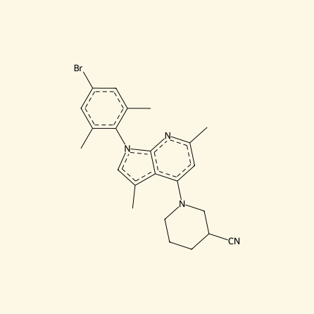 Cc1cc(N2CCCC(C#N)C2)c2c(C)cn(-c3c(C)cc(Br)cc3C)c2n1